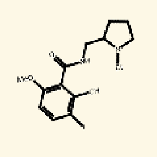 CCN1CCCC1CNC(=O)c1c(OC)ccc(I)c1O